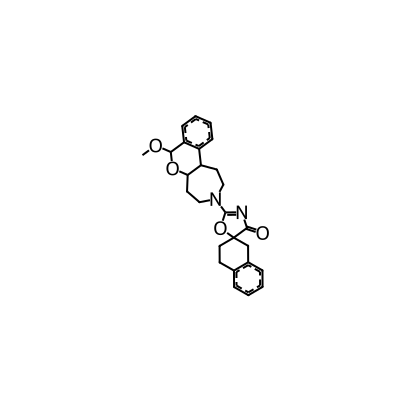 COC1OC2CCN(C3=NC(=O)C4(CCc5ccccc5C4)O3)CCC2c2ccccc21